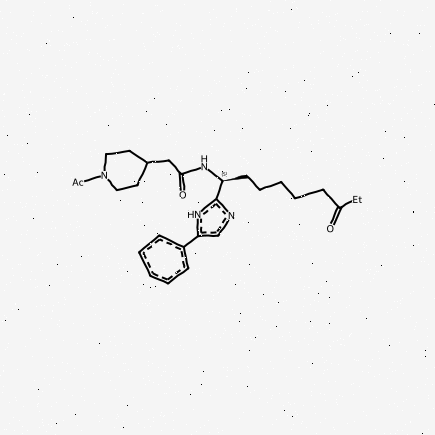 CCC(=O)CCCCC[C@H](NC(=O)CC1CCN(C(C)=O)CC1)c1ncc(-c2ccccc2)[nH]1